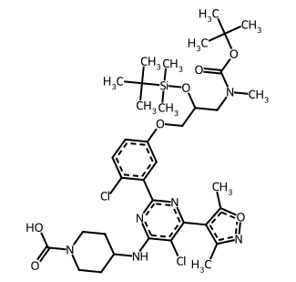 Cc1noc(C)c1-c1nc(-c2cc(OCC(CN(C)C(=O)OC(C)(C)C)O[Si](C)(C)C(C)(C)C)ccc2Cl)nc(NC2CCN(C(=O)O)CC2)c1Cl